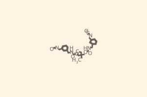 CCC(CC)(COC(=O)NCc1cccc(CN=C=O)c1)COC(=O)NCc1cccc(CN=C=O)c1